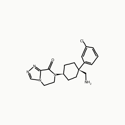 NC[C@]1(c2cccc(Cl)c2)CC[C@H](N2CCn3cnnc3C2=O)CC1